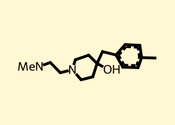 CNCCN1CCC(O)(Cc2ccc(C)cc2)CC1